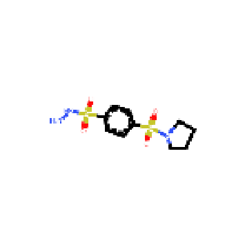 NNS(=O)(=O)c1ccc(S(=O)(=O)N2CCCC2)cc1